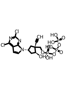 C#C[C@]1(COP(=O)(O)OP(=O)(O)OP(=O)(O)O)C[C@@H](n2ccc3c(Cl)nc(Cl)nc32)C[C@@H]1O